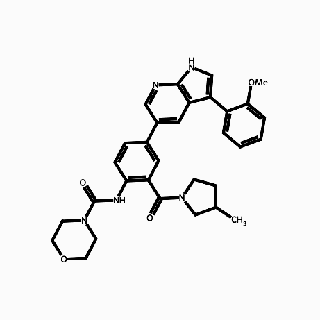 COc1ccccc1-c1c[nH]c2ncc(-c3ccc(NC(=O)N4CCOCC4)c(C(=O)N4CCC(C)C4)c3)cc12